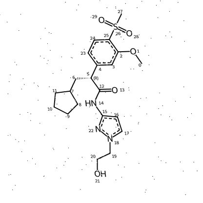 COc1cc([C@@H](CC2CCCC2)C(=O)Nc2ccn(CCO)n2)ccc1S(C)(=O)=O